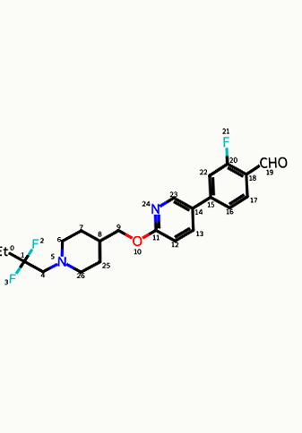 CCC(F)(F)CN1CCC(COc2ccc(-c3ccc(C=O)c(F)c3)cn2)CC1